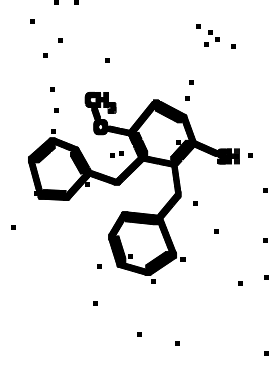 COc1ccc(S)c(Cc2ccccc2)c1Cc1ccccc1